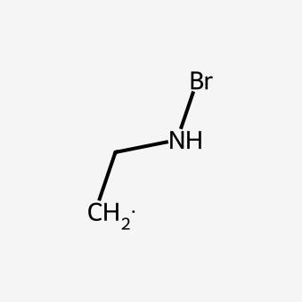 [CH2]CNBr